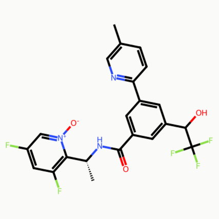 Cc1ccc(-c2cc(C(=O)N[C@H](C)c3c(F)cc(F)c[n+]3[O-])cc(C(O)C(F)(F)F)c2)nc1